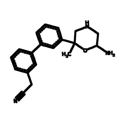 CC1(c2cccc(-c3cccc(CC#N)c3)c2)CNCC(N)O1